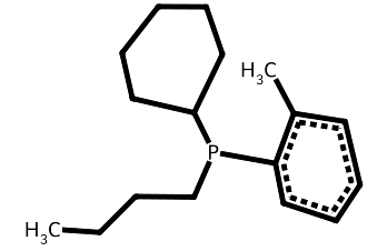 CCCCP(c1ccccc1C)C1CCCCC1